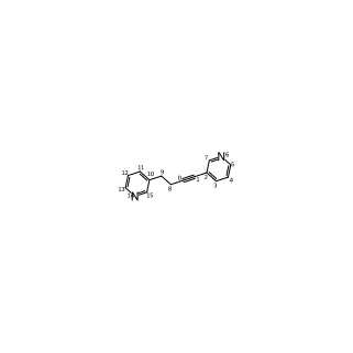 C(#Cc1cccnc1)CCc1cccnc1